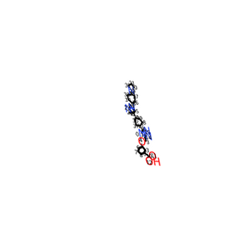 Cn1c(COc2cccc(C(=O)O)c2)nnc1[C@H]1CC[C@H](c2cnn([C@H]3CC[C@H](N4CCC4)CC3)c2)CC1